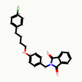 O=C1c2ccccc2C(=O)N1Cc1ccc(OCCCCc2ccc(Cl)cc2)cc1